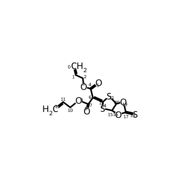 C=CCOC(=O)C(C(=O)OCC=C)=C1SC2OC(=S)OC2S1